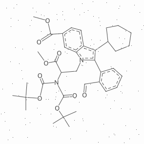 COC(=O)c1ccc2c(C3CCCCC3)c(-c3ccccc3C=O)n(CC(C(=O)OC)N(C(=O)OC(C)(C)C)C(=O)OC(C)(C)C)c2c1